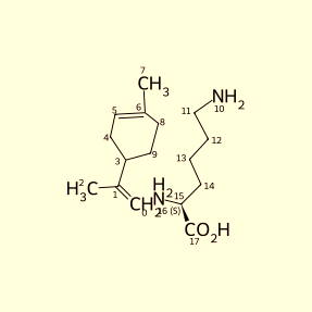 C=C(C)C1CC=C(C)CC1.NCCCC[C@H](N)C(=O)O